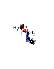 C=C(CCn1cnc(-c2ccc(Cl)c(F)c2)c1)NC(=O)COC[C@@H](C)OC(F)(F)F